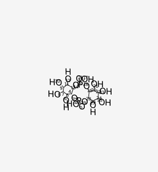 O=P1(O)OC2C(O)C(O)C(O)C(O)C2OP(=O)(O)OC2C(O)C(O)C(O)C(O)C2O1